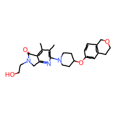 Cc1c(N2CCC(Oc3ccc4c(c3)CCOC4)CC2)nc2c(c1C)C(=O)N(CCO)C2